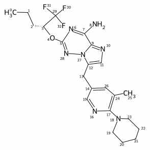 CCC[C@@H](Oc1nc(N)c2ncc(Cc3cnc(N4CCCCC4)c(C)c3)n2n1)C(F)(F)F